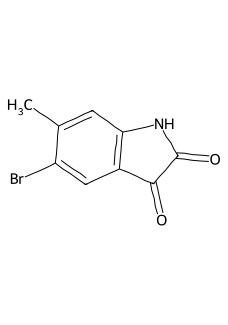 Cc1cc2c(cc1Br)C(=O)C(=O)N2